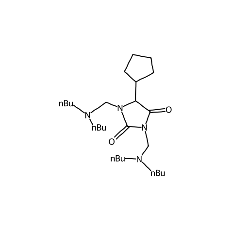 CCCCN(CCCC)CN1C(=O)C(C2CCCC2)N(CN(CCCC)CCCC)C1=O